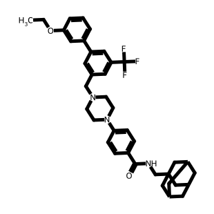 CCOc1cccc(-c2cc(CN3CCN(c4ccc(C(=O)NCC56CC7CC(CC(C7)C5)C6)cc4)CC3)cc(C(F)(F)F)c2)c1